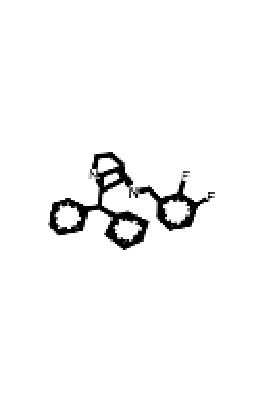 Fc1cccc(CN=C2C3CCN(CC3)C2C(c2ccccc2)c2ccccc2)c1F